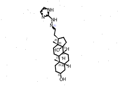 C[C@]12CC[C@H](O)C[C@H]1CC[C@@H]1[C@@H]2CC[C@]2(C)[C@@H](C/C=N/Nc3ncc[nH]3)CC[C@]12O